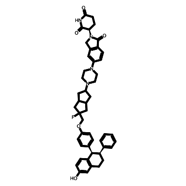 O=C1CC[C@@H](N2Cc3cc(N4CCN(C5CC6CC(F)(COc7ccc([C@@H]8c9ccc(O)cc9CC[C@@H]8c8ccccc8)cc7)CC6C5)CC4)ccc3C2=O)C(=O)N1